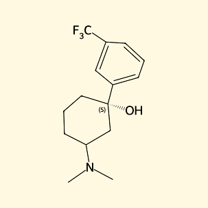 CN(C)C1CCC[C@@](O)(c2cccc(C(F)(F)F)c2)C1